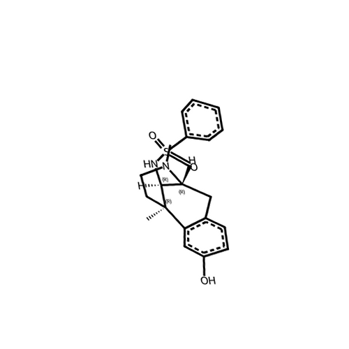 CN1CC[C@]2(C)c3cc(O)ccc3C[C@@H]1[C@@H]2NS(=O)(=O)c1ccccc1